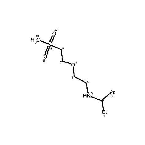 CCC(CC)NCCOCCS(C)(=O)=O